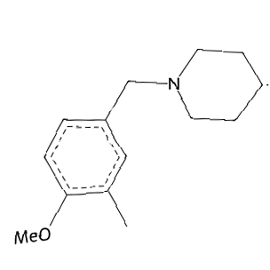 COc1ccc(CN2CC[CH]CC2)cc1C